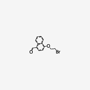 O=Cc1ccc(OCCBr)c2ccccc12